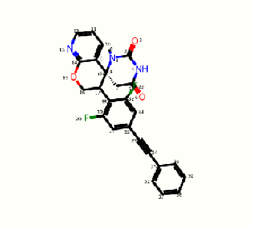 CN1C(=O)NC(=O)C[C@]12c1cccnc1OCC2c1c(F)cc(C#Cc2ccccc2)cc1F